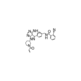 C=CC(=O)N1CCCC(n2nc(-c3ccc(CNC(=O)c4ccccc4C#N)cc3)c3c(N)ncnc32)C1